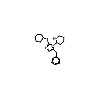 c1ccc(Cc2nnc(SC3CCCCC3)n2C2CCCCN2)cc1